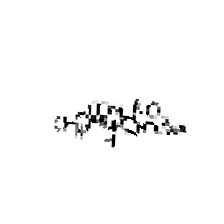 COc1ccc(NC(=O)c2ccc(Cl)nc2)c([N+](=O)[O-])c1[N+](=O)[O-]